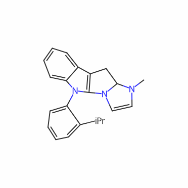 CC(C)c1ccccc1-n1c2c(c3ccccc31)CC1N(C)C=CN21